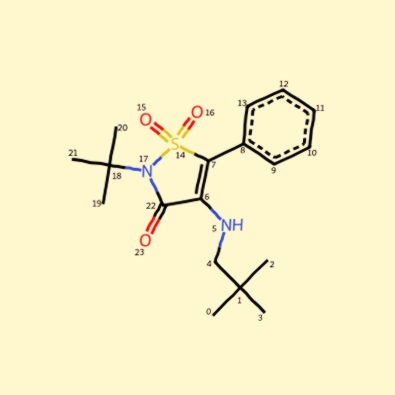 CC(C)(C)CNC1=C(c2ccccc2)S(=O)(=O)N(C(C)(C)C)C1=O